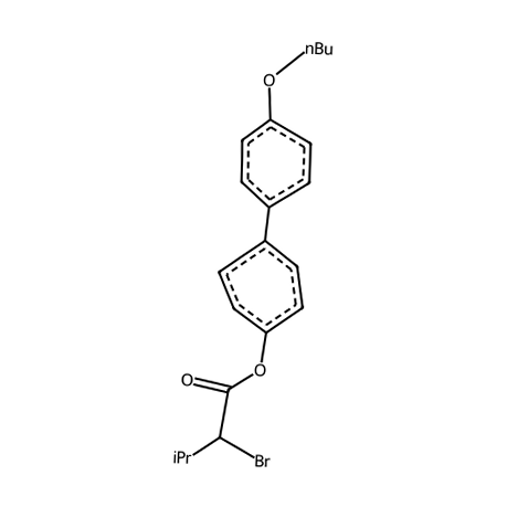 CCCCOc1ccc(-c2ccc(OC(=O)C(Br)C(C)C)cc2)cc1